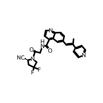 C/C(=C\c1ccc2nccc(C(=O)NCC(=O)N3CC(F)(F)C[C@H]3C#N)c2c1)c1ccncc1